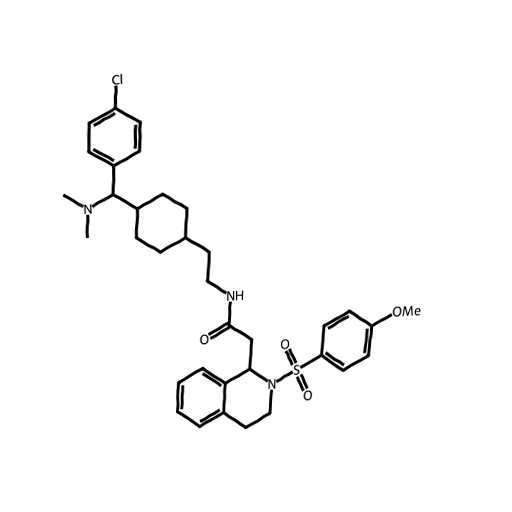 COc1ccc(S(=O)(=O)N2CCc3ccccc3C2CC(=O)NCCC2CCC(C(c3ccc(Cl)cc3)N(C)C)CC2)cc1